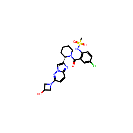 CS(=O)(=O)Nc1ccc(Cl)cc1C(=O)N1CCCC[C@H]1c1cn2nc(N3CC(O)C3)ccc2n1